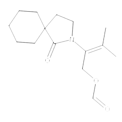 CC(C)=C(COC=O)N1CCC2(CCCCC2)C1=O